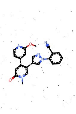 COc1cc(-c2cc(=O)n(C)cc2-c2cnn(-c3ccccc3C#N)c2)ccn1